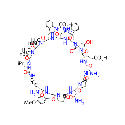 CCCC[C@H]1C(=O)N(C)[C@@H](CCCC)C(=O)N[C@@H](CC(C)C)C(=O)NCCC[C@H](N)C(=O)N[C@@H](Cc2ccc(OC)cc2)C(=O)N2CCCC[C@H]2C(=O)N[C@@H](CC(N)=O)C(=O)N2CCC[C@H]2C(=O)N[C@@H](CN)C(=O)N[C@@H](CCC(=O)O)C(=O)N2C[C@H](O)C[C@@]23C(=O)N3[C@@H](Cc2c[nH]c3ccccc23)C(=O)N[C@@H](CCN)C(=O)N[C@@H](Cc2cn(CC(=O)O)c3ccccc23)C(=O)N1C